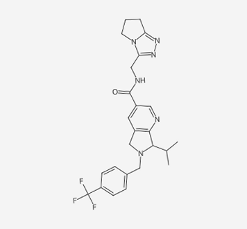 CC(C)C1c2ncc(C(=O)NCc3nnc4n3CCC4)cc2CN1Cc1ccc(C(F)(F)F)cc1